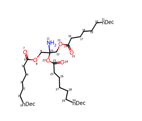 CCCCCCCCCCCCCCCC(=O)OCC(N)(COC(=O)CCCCCCCCCCCCCCC)OC(=O)CCCCCCCCCCCCCCC